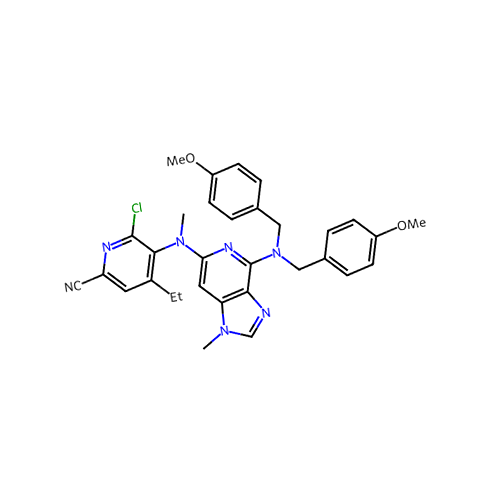 CCc1cc(C#N)nc(Cl)c1N(C)c1cc2c(ncn2C)c(N(Cc2ccc(OC)cc2)Cc2ccc(OC)cc2)n1